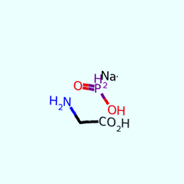 NCC(=O)O.O=[PH2]O.[Na]